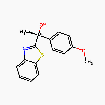 COc1ccc([C@@](C)(O)c2nc3ccccc3s2)cc1